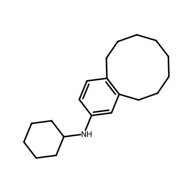 c1cc2c(cc1NC1CCCCC1)CCCCCCCC2